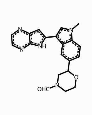 Cn1cc(-c2cc3nccnc3[nH]2)c2cc(C3CN(C=O)CCO3)ccc21